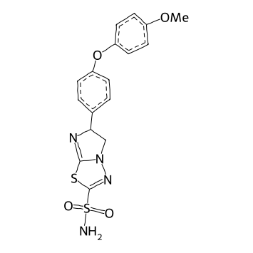 COc1ccc(Oc2ccc(C3CN4N=C(S(N)(=O)=O)SC4=N3)cc2)cc1